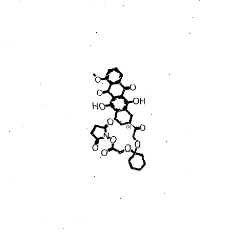 COc1cccc2c1C(=O)c1c(O)c3c(c(O)c1C2=O)C[C@@H](C(=O)COC1(OCC(=O)ON2C(=O)CCC2=O)CCCCC1)CC3